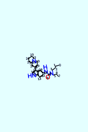 CCCCN(CCC)C(=O)Nc1ccc2[nH]cc(C3=CCN4CCCCC4C3)c2c1